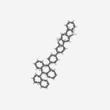 c1ccc2c(-c3c4ccccc4c(-c4ccc(-c5ccc6c(c5)sc5cc7c(cc56)sc5ccccc57)cc4)c4ccccc34)cccc2c1